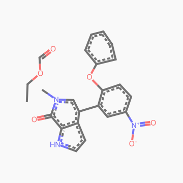 CCOC=O.Cn1cc(-c2cc([N+](=O)[O-])ccc2Oc2ccccc2)c2cc[nH]c2c1=O